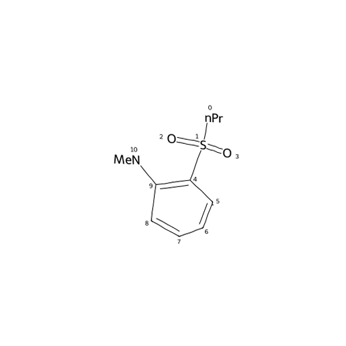 CCCS(=O)(=O)c1[c]cccc1NC